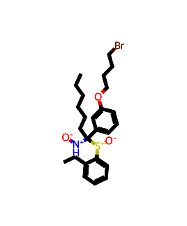 CCCCCCC1(c2cccc(OCCCCBr)c2)[NH+]([O-])C(C)c2ccccc2[S+]1[O-]